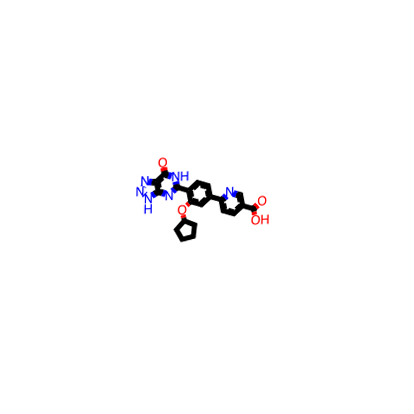 O=C(O)c1ccc(-c2ccc(-c3nc4[nH]nnc4c(=O)[nH]3)c(OC3CCCC3)c2)nc1